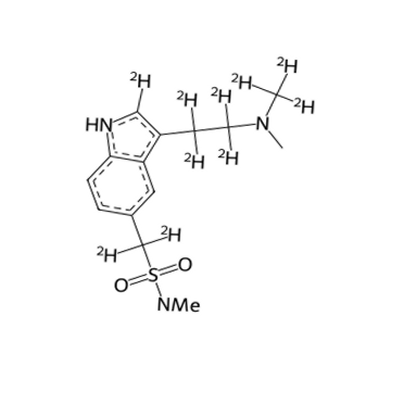 [2H]c1[nH]c2ccc(C([2H])([2H])S(=O)(=O)NC)cc2c1C([2H])([2H])C([2H])([2H])N(C)C([2H])([2H])[2H]